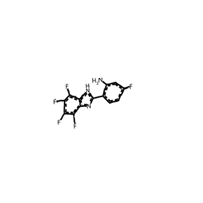 Nc1cc(F)ccc1-c1nc2c(F)c(F)c(F)c(F)c2[nH]1